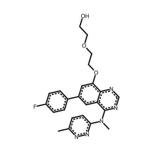 Cc1ccc(N(C)c2ncnc3c(OCCOCCO)cc(-c4ccc(F)cc4)cc23)nn1